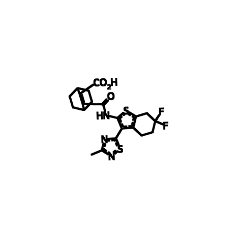 Cc1nsc(-c2c(NC(=O)C3=C(C(=O)O)C4CCC3CC4)sc3c2CCC(F)(F)C3)n1